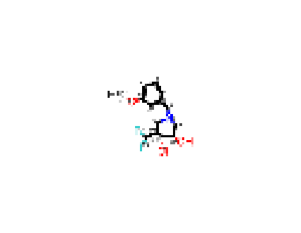 COc1cccc(CN2CC(C(F)F)[C@@H](O)[C@H](O)C2)c1